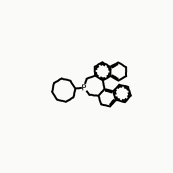 C1=c2ccccc2=C2c3c(ccc4c3=CCCC=4)CP(C3CCCCCCC3)CC2C1